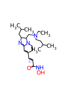 CCN(CCC(C)C)CC1C(CC(C)C)N=C2C=C(/C=C/C(=O)NO)C=CN21